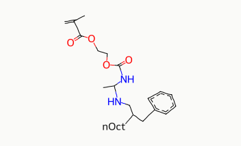 C=C(C)C(=O)OCCOC(=O)NC(C)NCC(CCCCCCCC)Cc1ccccc1